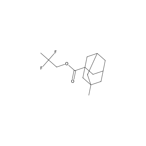 CC(F)(F)COC(=O)C12CC3CC(CC(C)(C3)C1)C2